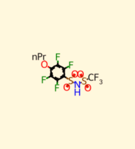 CCCOc1c(F)c(F)c(S(=O)(=O)NS(=O)(=O)C(F)(F)F)c(F)c1F